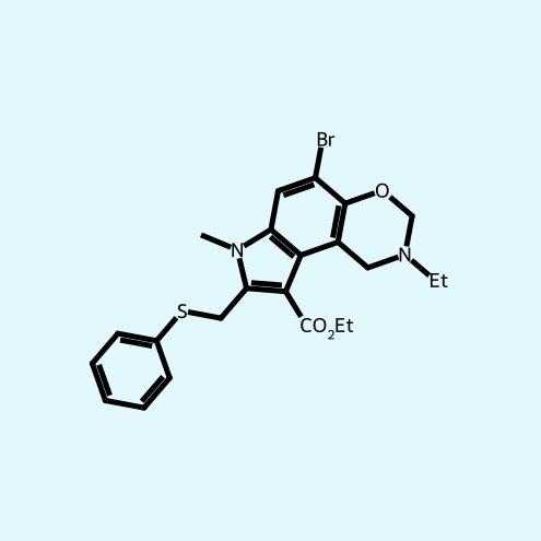 CCOC(=O)c1c(CSc2ccccc2)n(C)c2cc(Br)c3c(c12)CN(CC)CO3